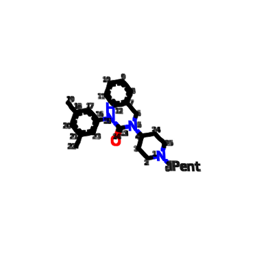 CCCC(C)N1CCC(N(Cc2ccccc2)C(=O)Nc2cc(C)cc(C)c2)CC1